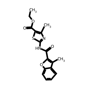 CCOC(=O)c1sc(NC(=O)c2oc3ccccc3c2C)nc1C